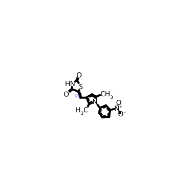 Cc1cc(/C=C2\SC(=O)NC2=O)c(C)n1-c1cccc([N+](=O)[O-])c1